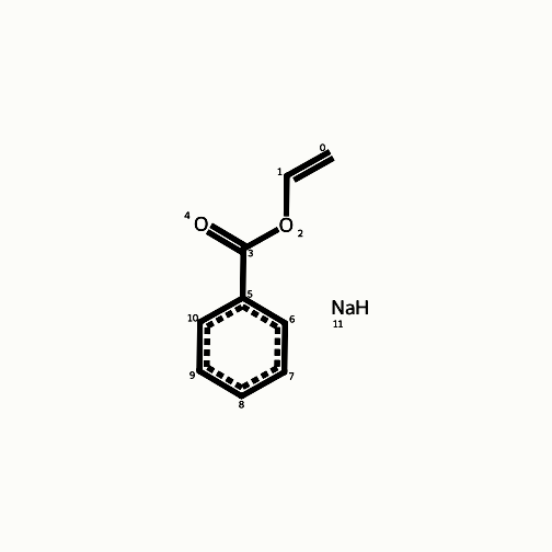 C=COC(=O)c1ccccc1.[NaH]